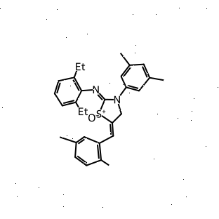 CCc1cccc(CC)c1N=C1N(c2cc(C)cc(C)c2)CC(=Cc2cc(C)ccc2C)[S+]1[O-]